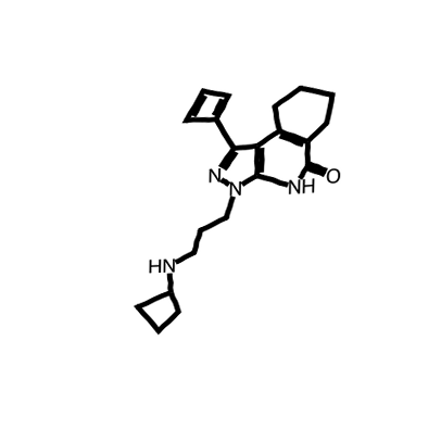 O=c1[nH]c2c(c(C3=CC=C3)nn2CCCNC2CCC2)c2c1CCCC2